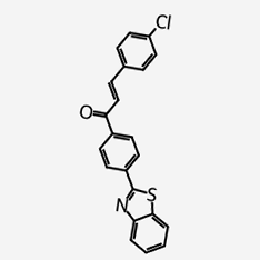 O=C(C=Cc1ccc(Cl)cc1)c1ccc(-c2nc3ccccc3s2)cc1